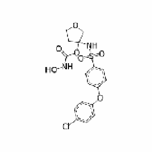 O=C(NO)OC1(NS(=O)(=O)c2ccc(Oc3ccc(Cl)cc3)cc2)CCOC1